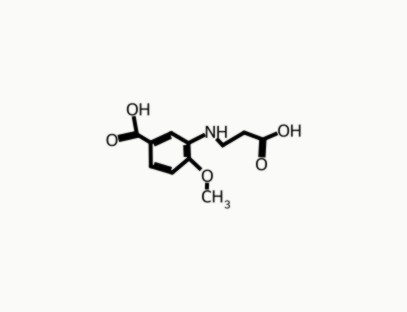 COc1ccc(C(=O)O)cc1NCCC(=O)O